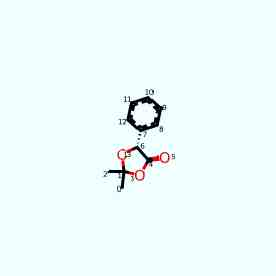 CC1(C)OC(=O)[C@@H](c2ccccc2)O1